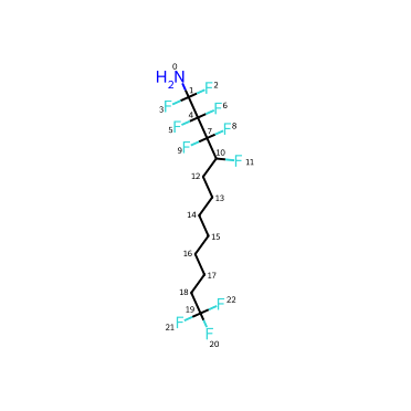 NC(F)(F)C(F)(F)C(F)(F)C(F)CCCCCCCC(F)(F)F